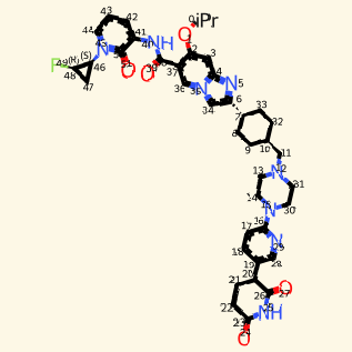 CC(C)Oc1cc2nc([C@H]3CC[C@H](CN4CCN(c5ccc(C6CCC(=O)NC6=O)cn5)CC4)CC3)cn2cc1C(=O)Nc1cccn([C@H]2C[C@H]2F)c1=O